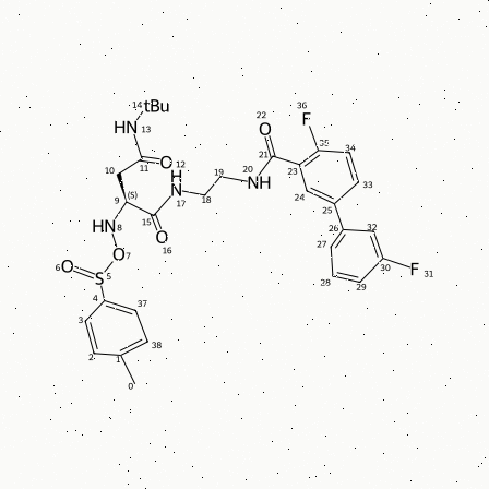 Cc1ccc(S(=O)ON[C@@H](CC(=O)NC(C)(C)C)C(=O)NCCNC(=O)c2cc(-c3cccc(F)c3)ccc2F)cc1